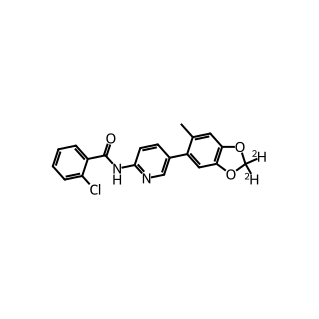 [2H]C1([2H])Oc2cc(C)c(-c3ccc(NC(=O)c4ccccc4Cl)nc3)cc2O1